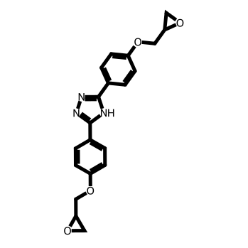 c1cc(-c2nnc(-c3ccc(OCC4CO4)cc3)[nH]2)ccc1OCC1CO1